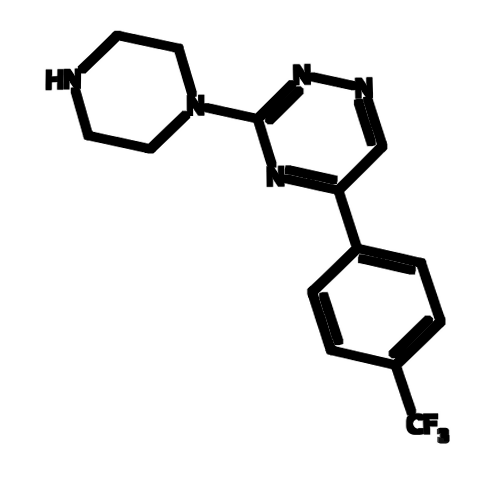 FC(F)(F)c1ccc(-c2cnnc(N3CCNCC3)n2)cc1